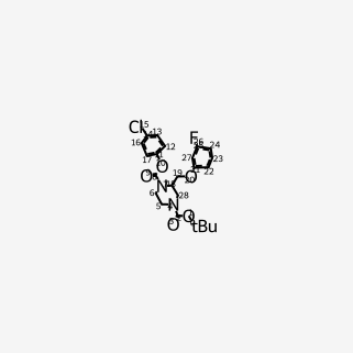 CC(C)(C)OC(=O)N1CCN(C(=O)Oc2ccc(Cl)cc2)C(COc2cccc(F)c2)C1